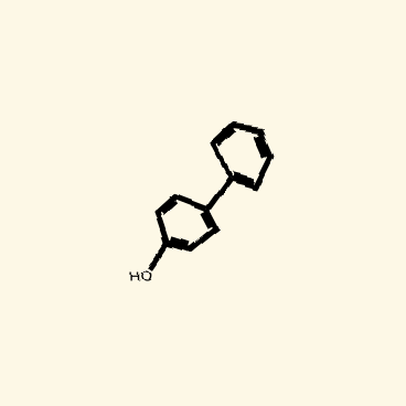 Oc1c[c]c(-c2ccccc2)cc1